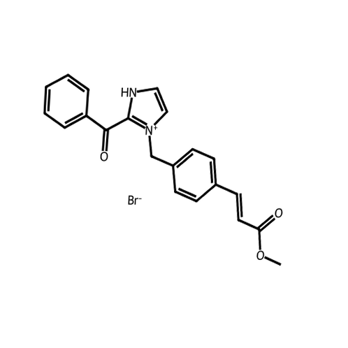 COC(=O)C=Cc1ccc(C[n+]2cc[nH]c2C(=O)c2ccccc2)cc1.[Br-]